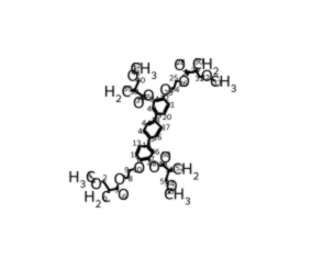 C=C(COC)C(=O)OCCOc1ccc(-c2ccc(-c3ccc(OCCOC(=O)C(=C)COC)c(OC(=O)C(=C)COC)c3)cc2)cc1OC(=O)C(=C)COC